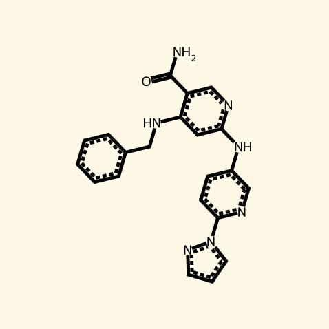 NC(=O)c1cnc(Nc2ccc(-n3cccn3)nc2)cc1NCc1ccccc1